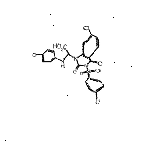 O=C(O)C(Nc1ccc(Cl)cc1)n1c(=O)n(S(=O)(=O)c2ccc(Cl)cc2)c(=O)c2ccc(Cl)cc21